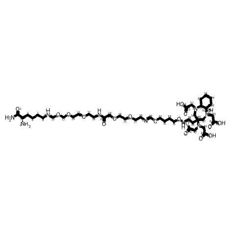 NC(=O)[C@@H](N)CCCCNCOCOCCOCCNC(=O)COCCOCCN=COCCCCONCCC1(N(CC(=O)O)CC(=O)O)CN(CC(=O)O)C2CCCC[C@H]2N(CC(=O)O)C1